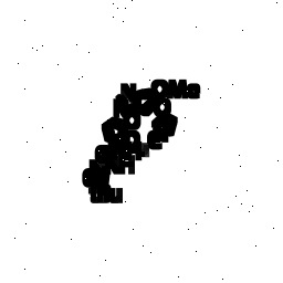 COc1cc2ncnc(Oc3cccc(NC(=O)Nc4cc(C(C)(C)C)on4)c3)c2cc1OC1CCN(C(=O)O)C1